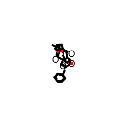 O=C(OCc1ccccc1)N1C(=O)C2C(C1=O)C1C3C=C=CC3C2C2C=CC=CC21